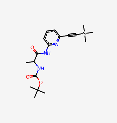 CC(NC(=O)OC(C)(C)C)C(=O)Nc1cccc(C#C[Si](C)(C)C)n1